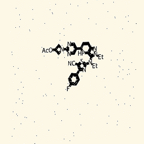 CCN(c1nc(-c2ccc(F)cc2)c(C#N)s1)c1c2c(nn1CC)C=CC(c1cnc(N3CC(OC(C)=O)C3)nc1)P2